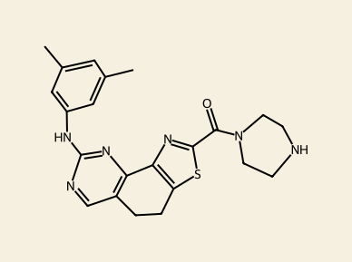 Cc1cc(C)cc(Nc2ncc3c(n2)-c2nc(C(=O)N4CCNCC4)sc2CC3)c1